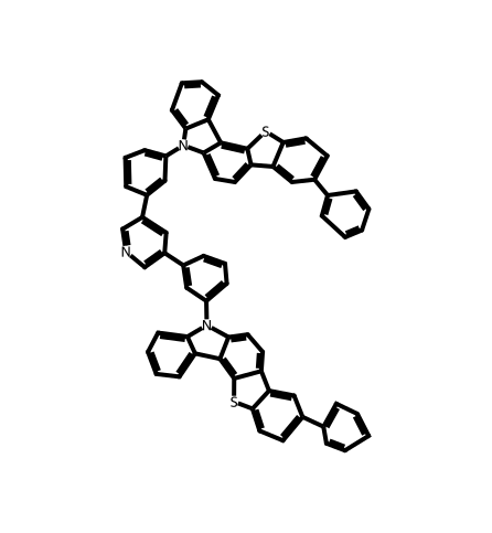 c1ccc(-c2ccc3sc4c(ccc5c4c4ccccc4n5-c4cccc(-c5cncc(-c6cccc(-n7c8ccccc8c8c9sc%10ccc(-c%11ccccc%11)cc%10c9ccc87)c6)c5)c4)c3c2)cc1